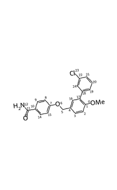 COc1ccc(COc2ccc(C(N)=O)cc2)cc1-c1cccc(Cl)c1